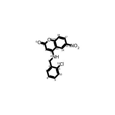 O=c1cc(NCc2ccccc2Cl)c2cc([N+](=O)[O-])ccc2o1